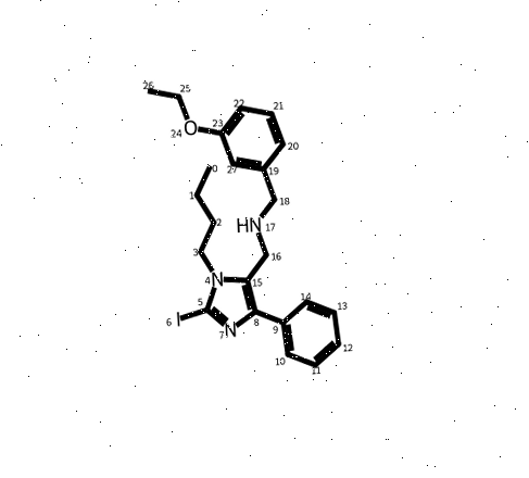 CCCCn1c(I)nc(-c2ccccc2)c1CNCc1cccc(OCC)c1